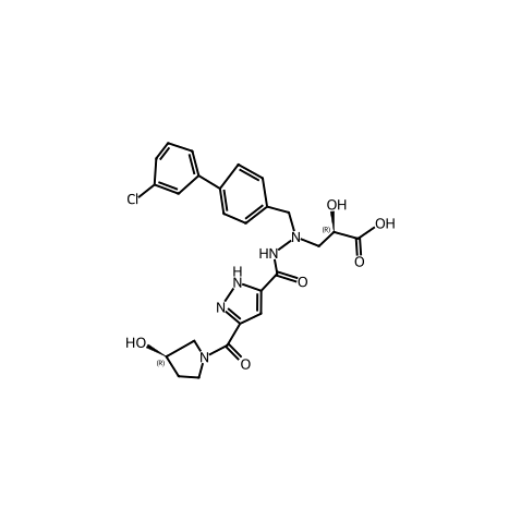 O=C(NN(Cc1ccc(-c2cccc(Cl)c2)cc1)C[C@@H](O)C(=O)O)c1cc(C(=O)N2CC[C@@H](O)C2)n[nH]1